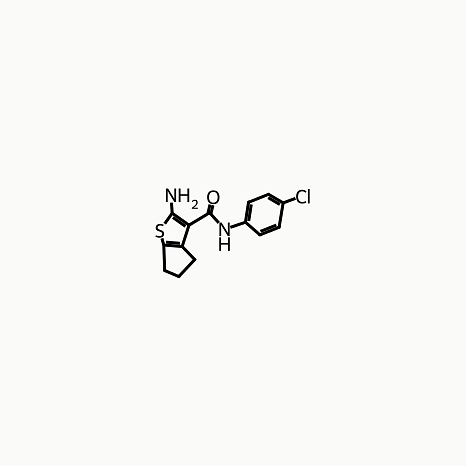 Nc1sc2c(c1C(=O)Nc1ccc(Cl)cc1)CCC2